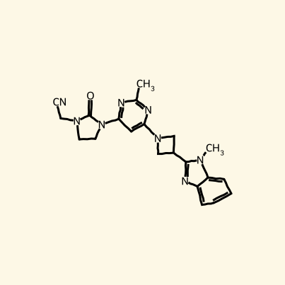 Cc1nc(N2CC(c3nc4ccccc4n3C)C2)cc(N2CCN(CC#N)C2=O)n1